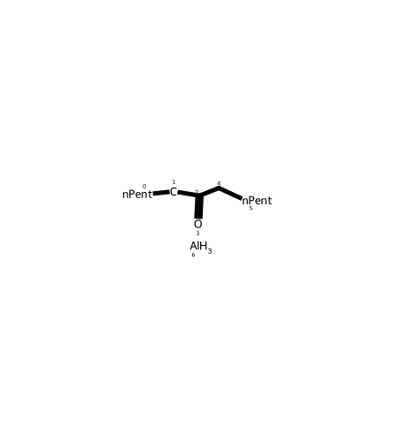 CCCCCCC(=O)CCCCCC.[AlH3]